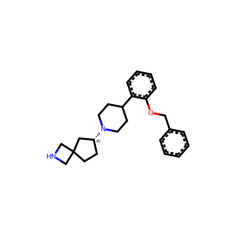 c1ccc(COc2ccccc2C2CCN([C@@H]3CCC4(CNC4)C3)CC2)cc1